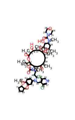 CC[C@H]1OC(=O)[C@H](C)[C@@H](O)[C@H](C)[C@@H](O[C@@H]2O[C@H](C)C[C@H](N(C)C(=O)N3CCOCC3)[C@H]2O)[C@](C)(OC)CCC[C@@H](C)C(=O)[C@H](C)[C@H]2N(CCCN(Cc3c(Cl)cncc3Cl)c3ccc(OC)c(OC4CCCC4)c3)C(=O)O[C@]12C